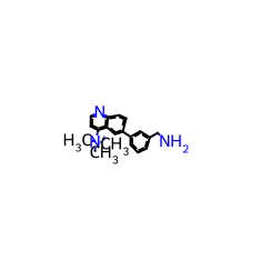 C[N+](C)(C)c1ccnc2ccc(-c3cccc(CN)c3)cc12